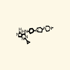 CN1CCN(C2CCN(c3ccc(Nc4nc(C5CC5)nc5cn[nH]c45)cc3)CC2)CC1